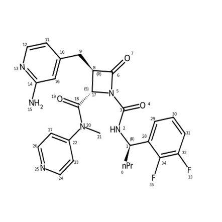 CCC[C@@H](NC(=O)N1C(=O)[C@H](Cc2ccnc(N)c2)[C@H]1C(=O)N(C)c1ccncc1)c1cccc(F)c1F